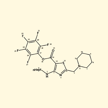 CCCCCCCNc1nc(CN2CCCCC2)sc1C(=O)Oc1c(F)c(F)c(F)c(F)c1F